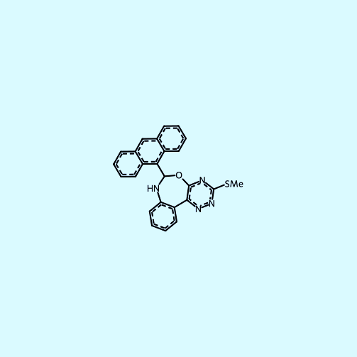 CSc1nnc2c(n1)OC(c1c3ccccc3cc3ccccc13)Nc1ccccc1-2